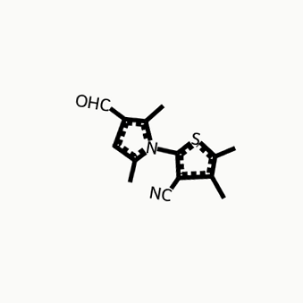 Cc1sc(-n2c(C)cc(C=O)c2C)c(C#N)c1C